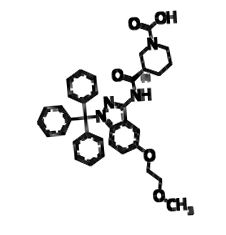 COCCOc1ccc2c(c1)c(NC(=O)[C@@H]1CCCN(C(=O)O)C1)nn2C(c1ccccc1)(c1ccccc1)c1ccccc1